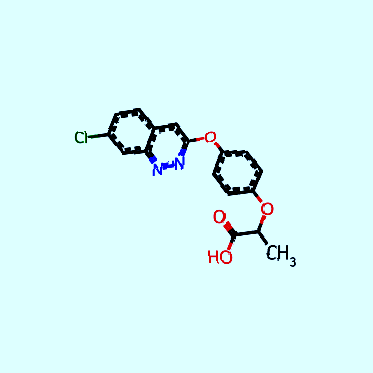 CC(Oc1ccc(Oc2cc3ccc(Cl)cc3nn2)cc1)C(=O)O